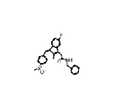 CC1=C(CC(=O)NCc2ccccc2)c2cc(F)ccc2C1=Cc1ccc([S+](C)[O-])cc1